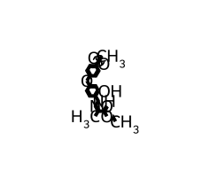 CCOC(=O)C(C)=NNc1ccc(Oc2ccc(S(C)(=O)=O)cc2)cc1O